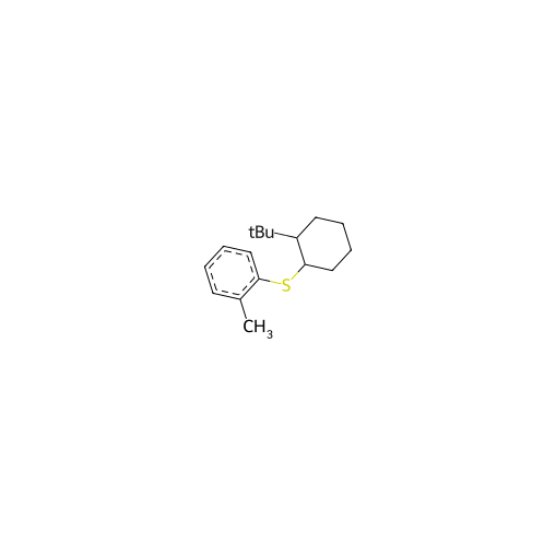 Cc1ccccc1SC1CCCCC1C(C)(C)C